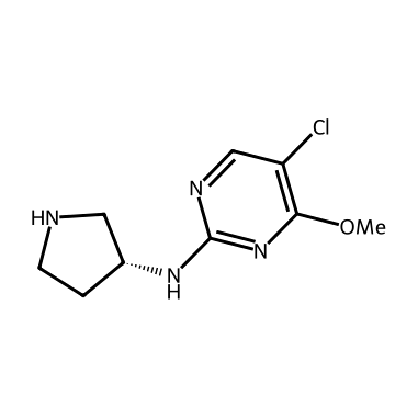 COc1nc(N[C@@H]2CCNC2)ncc1Cl